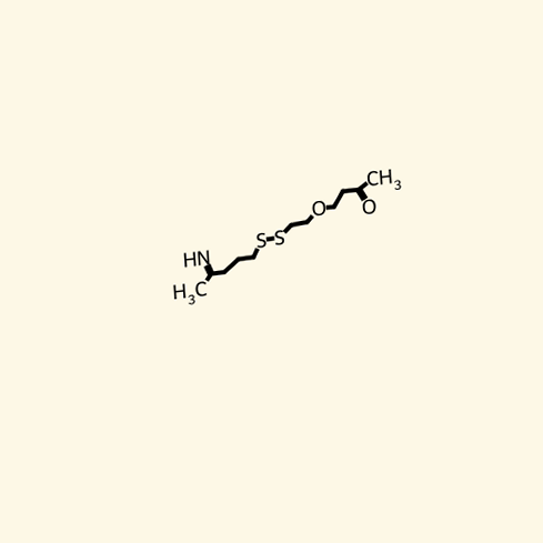 CC(=N)CCCSSCCOCCC(C)=O